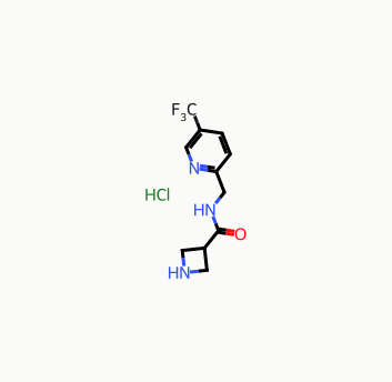 Cl.O=C(NCc1ccc(C(F)(F)F)cn1)C1CNC1